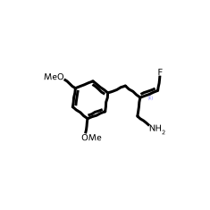 COc1cc(C/C(=C\F)CN)cc(OC)c1